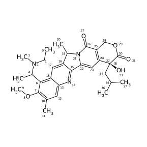 CCN(C)C(C)c1c(OC)c(C)cc2nc3c(cc12)C(C)n1c-3cc2c(c1=O)COC(=O)[C@]2(O)CC(C)C